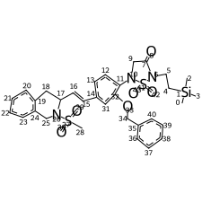 C[Si](C)(C)CCN1C(=O)CN(c2ccc(C=CC3Cc4ccccc4CN3S(C)(=O)=O)cc2OCc2ccccc2)S1(=O)=O